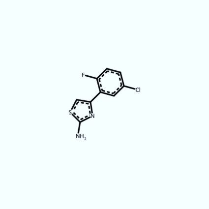 Nc1nc(-c2cc(Cl)ccc2F)cs1